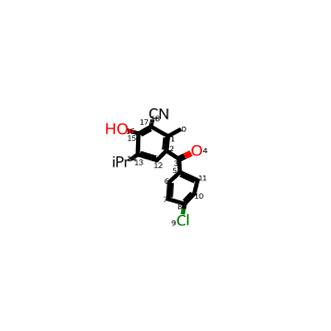 Cc1c(C(=O)c2ccc(Cl)cc2)cc(C(C)C)c(O)c1C#N